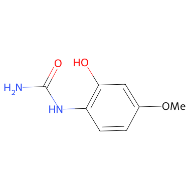 COc1ccc(NC(N)=O)c(O)c1